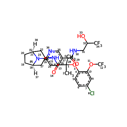 CC(C)(Oc1ccc(Cl)cc1OC(F)(F)F)C(=O)N[C@H]1C[C@H]2CC[C@@H](C1)N2c1ccc(C(=O)NCC(O)C(F)(F)F)cn1